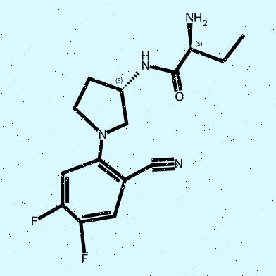 CC[C@H](N)C(=O)N[C@H]1CCN(c2cc(F)c(F)cc2C#N)C1